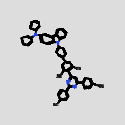 N#Cc1ccc(-c2cc(-c3c(C#N)cc(-c4ccc(-n5c6ccccc6c6cc(N(c7ccccc7)c7ccccc7)ccc65)cc4)cc3C#N)nc(-c3ccc(C#N)cc3)n2)cc1